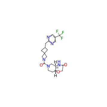 O=C1CO[C@@H]2CCN(C(=O)N3CC4(CC(Cc5ncc(C(F)(F)F)cn5)C4)C3)C[C@@H]2N1